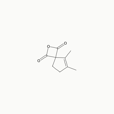 CC1=C(C)C2(CC1)C(=O)OC2=O